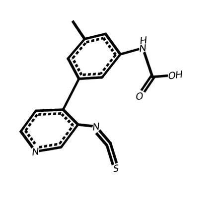 Cc1cc(NC(=O)O)cc(-c2ccncc2N=C=S)c1